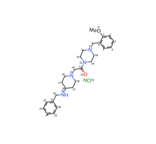 COc1ccccc1CN1CCN(C(=O)CN2CCC(NCc3ccccc3)CC2)CC1.Cl